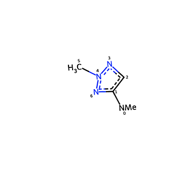 CNc1cnn(C)n1